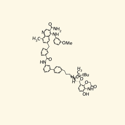 COc1cccc(Nc2c(C(N)=O)cnc3c(C)cc(Cc4cccc(C(=O)Nc5cccc(-c6ccc(CCCCNC[C@H](O[Si](C)(C)C(C)(C)C)c7ccc(O)c8c7OCC(=O)N8)cc6)c5)c4)cc23)c1